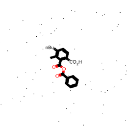 CCCCc1ccc(C(=O)O)c(C(=O)OC(=O)c2ccccc2)c1C